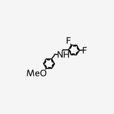 COc1ccc(CNCc2ccc(F)cc2F)cc1